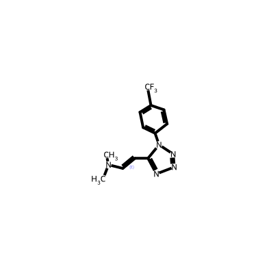 CN(C)/C=C/c1nnnn1-c1ccc(C(F)(F)F)cc1